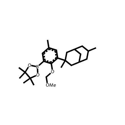 COCOc1c(B2OC(C)(C)C(C)(C)O2)cc(C)cc1C1(C)CC2CC(C)CC(C2)C1